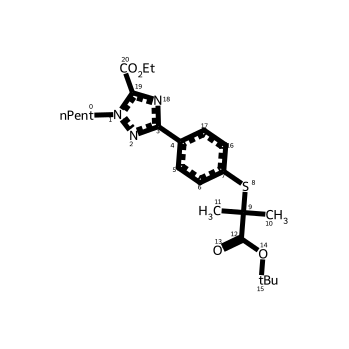 CCCCCn1nc(-c2ccc(SC(C)(C)C(=O)OC(C)(C)C)cc2)nc1C(=O)OCC